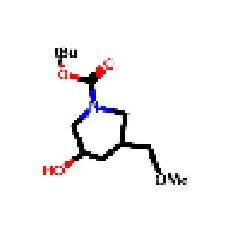 COCC1CC(O)CN(C(=O)OC(C)(C)C)C1